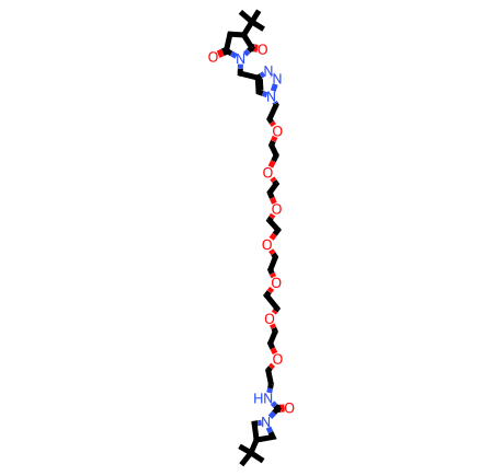 CC(C)(C)C1CN(C(=O)NCCOCCOCCOCCOCCOCCOCCOCCn2cc(CN3C(=O)CC(C(C)(C)C)C3=O)nn2)C1